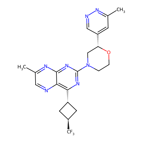 Cc1cc([C@H]2CN(c3nc4nc(C)cnc4c([C@H]4C[C@H](C(F)(F)F)C4)n3)CCO2)cnn1